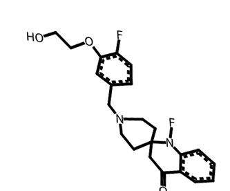 O=C1CC2(CCN(Cc3ccc(F)c(OCCO)c3)CC2)N(F)c2ccccc21